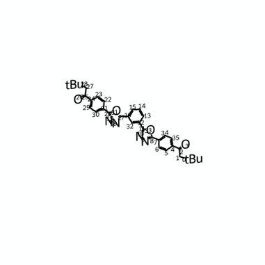 CC(C)(C)CC(=O)c1ccc(-c2nnc(-c3cccc(-c4nnc(-c5ccc(C(=O)CC(C)(C)C)cc5)o4)c3)o2)cc1